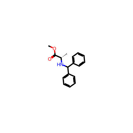 COC(=O)[C@H](C)NC(c1ccccc1)c1ccccc1